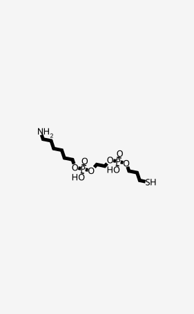 NCCCCCCOP(=O)(O)OCCOP(=O)(O)OCCCS